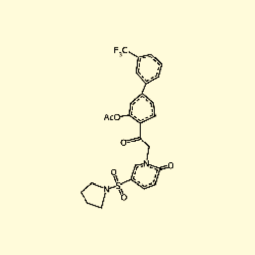 CC(=O)Oc1cc(-c2cccc(C(F)(F)F)c2)ccc1C(=O)Cn1cc(S(=O)(=O)N2CCCC2)ccc1=O